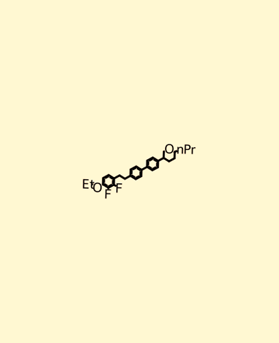 CCCC1CCC(c2ccc(-c3ccc(CCc4ccc(OCC)c(F)c4F)cc3)cc2)CO1